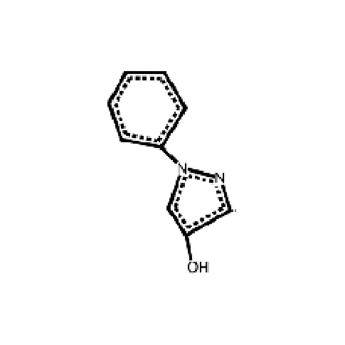 Oc1[c]nn(-c2ccccc2)c1